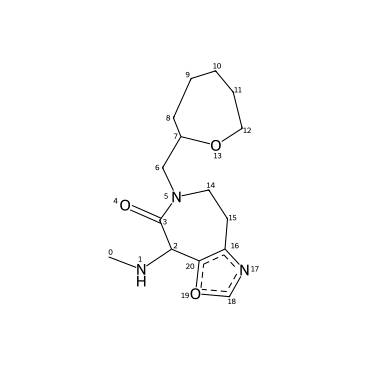 CNC1C(=O)N(CC2CCCCCO2)CCc2ncoc21